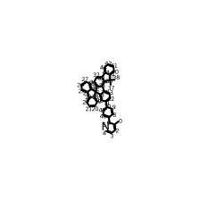 Cc1cccnc1-c1ccc(-c2ccc3c(c2)C2(c4ccccc4-c4ccccc42)c2ccc4c(c2-3)C(C)(C)c2ccccc2-4)cc1